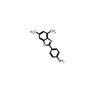 Cc1cc(C)c2nc(-c3ccc(N)cc3)oc2c1